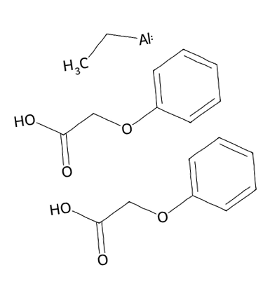 C[CH2][Al].O=C(O)COc1ccccc1.O=C(O)COc1ccccc1